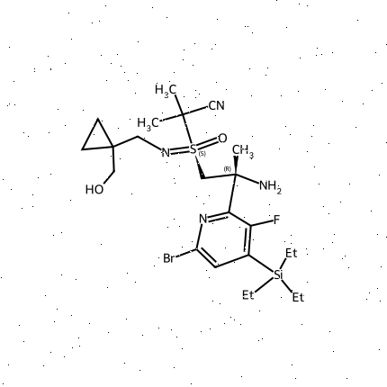 CC[Si](CC)(CC)c1cc(Br)nc([C@@](C)(N)C[S@@](=O)(=NCC2(CO)CC2)C(C)(C)C#N)c1F